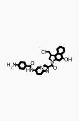 Nc1ccc(C(=O)Nc2ccc3nc(C(=O)N4CC(CCl)c5c4cc(O)c4ccccc54)cn3c2)cc1